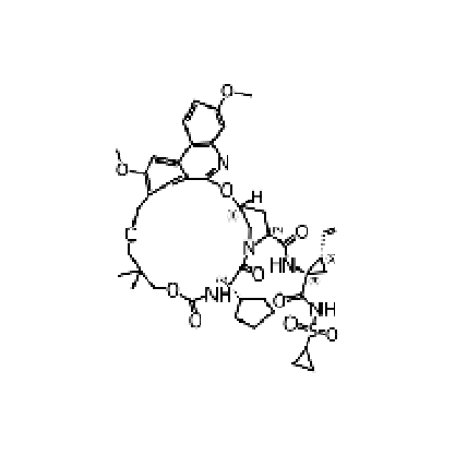 C=C[C@@H]1C[C@]1(NC(=O)[C@@H]1C[C@@H]2CN1C(=O)[C@H](C1CCCC1)NC(=O)OCC(C)(C)CCCc1cc3c(nc4cc(OC)ccc4c3cc1OC)O2)C(=O)NS(=O)(=O)C1CC1